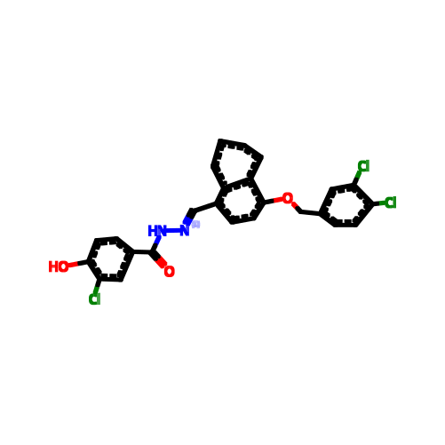 O=C(N/N=C/c1ccc(OCc2ccc(Cl)c(Cl)c2)c2ccccc12)c1ccc(O)c(Cl)c1